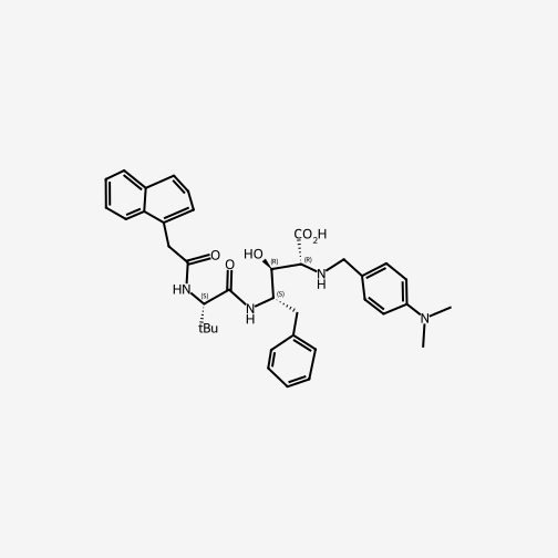 CN(C)c1ccc(CN[C@@H](C(=O)O)[C@H](O)[C@H](Cc2ccccc2)NC(=O)[C@@H](NC(=O)Cc2cccc3ccccc23)C(C)(C)C)cc1